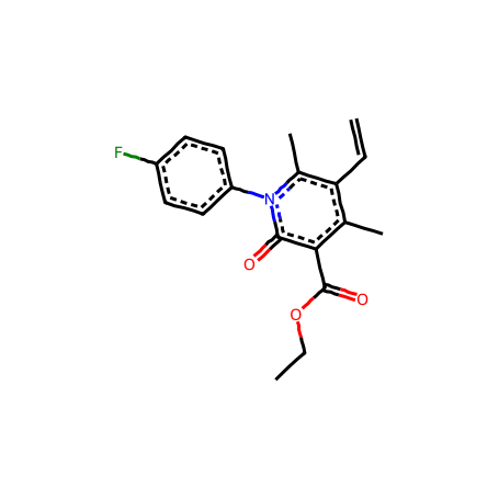 C=Cc1c(C)c(C(=O)OCC)c(=O)n(-c2ccc(F)cc2)c1C